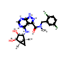 CN(Cc1cc(F)ccc1F)C(=O)c1n[nH]c2ncnc(N[C@H]3[C@H](O)[C@H](O)[C@@H]4C[C@@H]43)c12